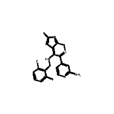 CC1=CC2=C(NCc3c(F)cccc3F)C(c3ccnc(N)c3)=NCC2=N1